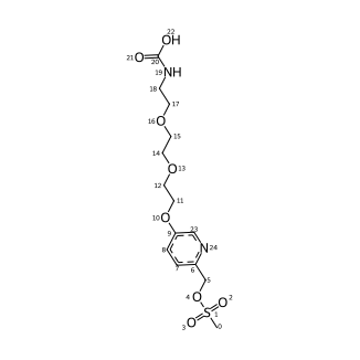 CS(=O)(=O)OCc1ccc(OCCOCCOCCNC(=O)O)cn1